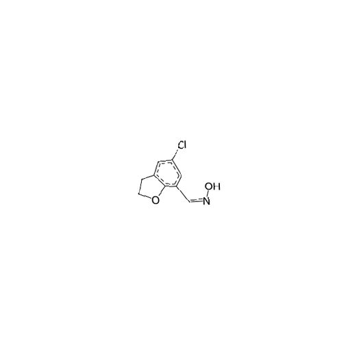 O/N=C\c1cc(Cl)cc2c1OCC2